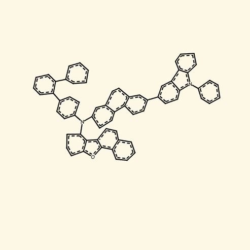 c1ccc(-c2ccccc2-c2ccc(N(c3ccc4c(ccc5cc(-c6ccc7c(c6)c6ccccc6n7-c6ccccc6)ccc54)c3)c3cccc4oc5c6ccccc6ccc5c34)cc2)cc1